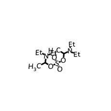 CCN(CC)C(C)OS(=O)(=O)OC(C)N(CC)CC